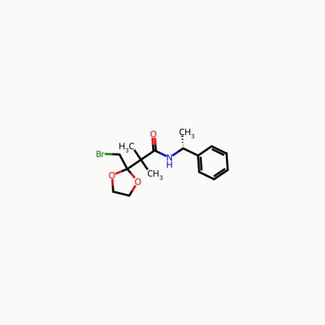 C[C@@H](NC(=O)C(C)(C)C1(CBr)OCCO1)c1ccccc1